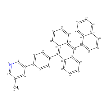 Cc1cncc(-c2ccc(-c3c4ccccc4c(-c4cccc5ccccc45)c4ccccc34)cc2)c1